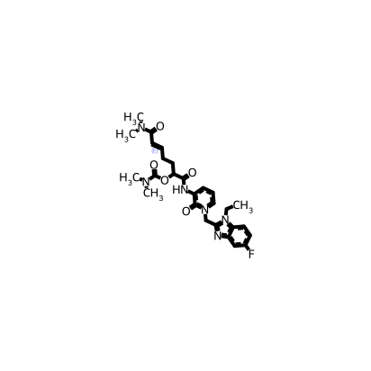 CCn1c(Cn2cccc(NC(=O)C(CC/C=C/C(=O)N(C)C)OC(=O)N(C)C)c2=O)nc2cc(F)ccc21